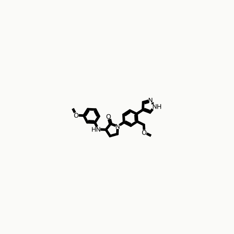 COCc1cc(N2CCC(Nc3cccc(OC)c3)C2=O)ccc1-c1cn[nH]c1